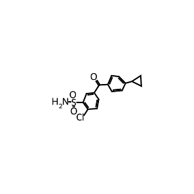 NS(=O)(=O)c1cc(C(=O)c2ccc(C3CC3)cc2)ccc1Cl